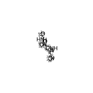 O=C(NCc1ccco1)c1ccccc1Nc1ccc2c(C=Cc3ccccn3)n[nH]c2c1